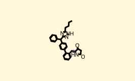 CCCCc1nc(C(c2ccccc2)c2ccc(-c3ccccc3/C=C3\NC(=O)CC3=O)cc2)n[nH]1